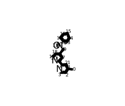 Cc1ccnc(-c2cc(/C=[N+](\[O-])c3ccccc3)ccn2)c1